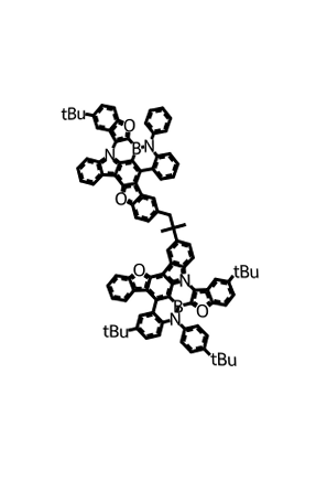 CC(C)(C)c1ccc(N2B3c4oc5ccc(C(C)(C)C)cc5c4-n4c5ccc(C(C)(C)Cc6ccc7oc8c(c9c%10c%11c8c8ccccc8n%11-c8c(oc%11ccc(C(C)(C)C)cc8%11)B%10N(c8ccccc8)c8ccccc8-9)c7c6)cc5c5c6oc7ccccc7c6c(c3c54)-c3cc(C(C)(C)C)ccc32)cc1